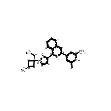 Cc1cc(-c2cc3ncccc3c(-c3ccn([C@]4(CC#N)C[C@@H](C#N)C4)n3)n2)cc(N)n1